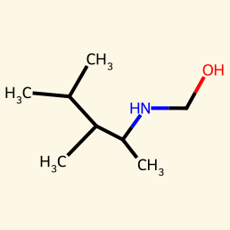 CC(C)C(C)C(C)NCO